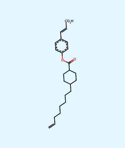 C=CCCCCCCC1CCC(C(=O)Oc2ccc(C=CC(=O)O)cc2)CC1